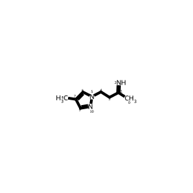 CC(=N)CCn1cc(C)cn1